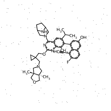 C#Cc1c(F)ccc2cc(O)cc(-c3c(C(C)C)cc4c(N5CC6CCC(C5)N6)nc(OCC5(CN6C[C@@]7(C)COC[C@]7(C)C6)CC5)nc4c3C)c12